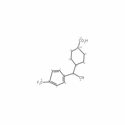 N#CC(c1ccc(C(F)(F)F)cc1)C1CCN(C(=O)O)CC1